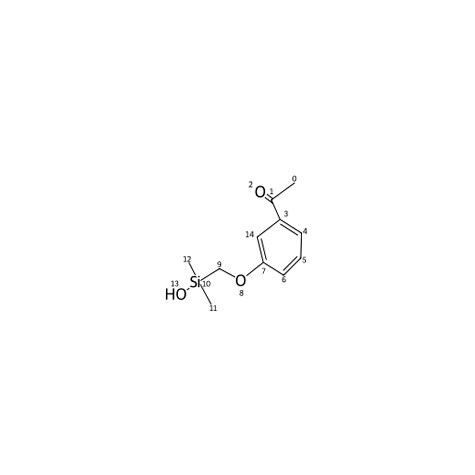 CC(=O)c1cccc(OC[Si](C)(C)O)c1